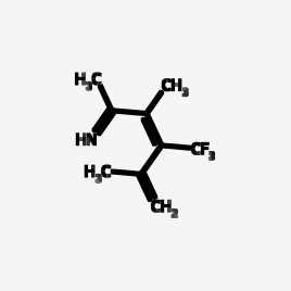 C=C(C)/C(=C(/C)C(C)=N)C(F)(F)F